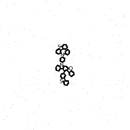 c1ccc(N(c2ccc(-n3c4ccccc4c4c(-c5ccc6sc7ccccc7c6c5)c5c(cc43)oc3ccccc35)cc2)c2cccc3sc4ccccc4c23)cc1